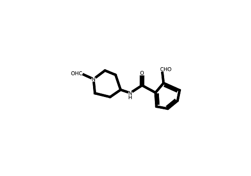 O=Cc1ccccc1C(=O)NC1CCN(C=O)CC1